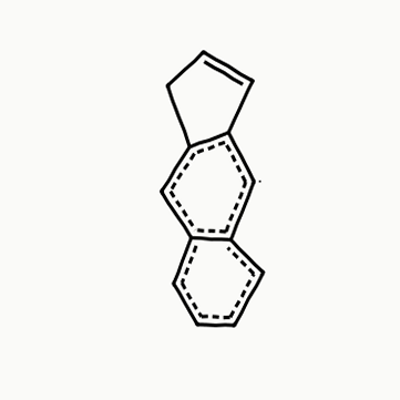 [c]1c2c(cc3ccccc13)CC=C2